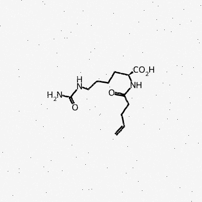 C=CCCC(=O)N[C@@H](CCCCNC(N)=O)C(=O)O